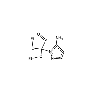 CCOC(OCC)(P=O)n1n[c]cc1C